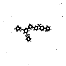 CC1(C)c2cc(-c3cccc(-c4cc(-c5nc6ccccc6o5)cc(-c5nc6ccccc6o5)c4)c3)ccc2-c2cc3oc4ccccc4c3cc21